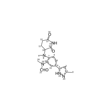 Cc1cc(-c2ccc(N(C)C3CCC(=O)NC3=O)c(N(C)C=O)c2)[nH]n1